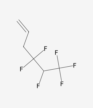 C=CCC(F)(F)C(F)C(F)(F)F